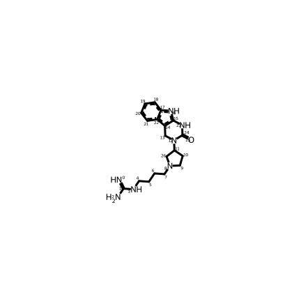 N=C(N)NCCCCN1CCC(N2Cc3c([nH]c4ccccc34)NC2=O)C1